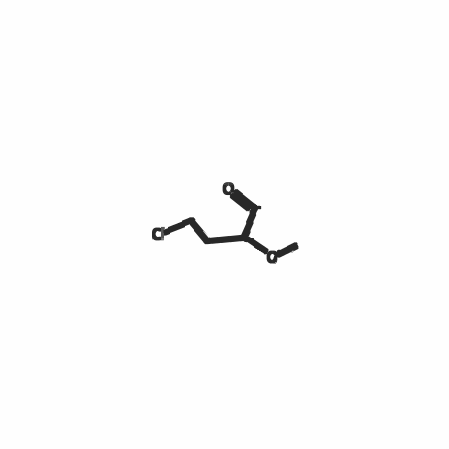 COC([C]=O)CCCl